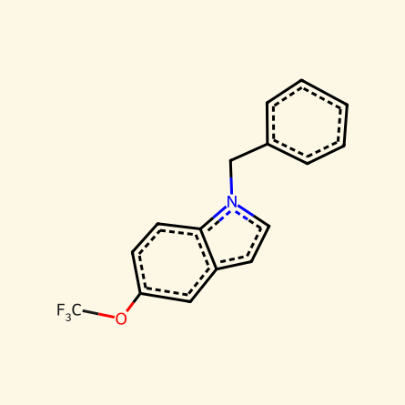 FC(F)(F)Oc1ccc2c(ccn2Cc2ccccc2)c1